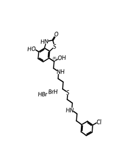 Br.Br.O=c1[nH]c2c(O)ccc([C@@H](O)CNCCCSCCNCCc3cccc(Cl)c3)c2s1